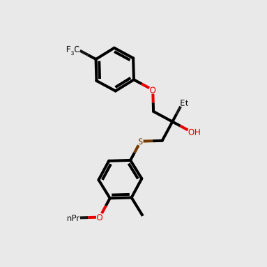 CCCOc1ccc(SCC(O)(CC)COc2ccc(C(F)(F)F)cc2)cc1C